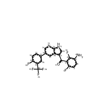 Nc1ccc(F)c(C(=O)c2c[nH]c3ncc(-c4ccc(F)c(C(F)(F)F)c4)cc23)c1F